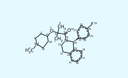 CN1CCC(OC(C)(C)C(=O)N2CCc3ccccc3[C@@H]2c2ccc(F)cc2)CC1